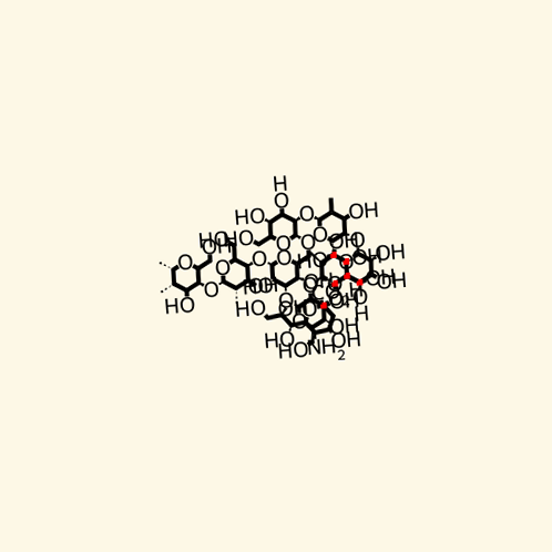 CC1C(O)[C@H](O[C@@H]2OC(CO[C@]3(C(=O)O)C[C@@H](O)[C@@H](N)C([C@H](O)[C@H](O)CO)O3)[C@H](O)C(O)[C@@H]2O)[C@H](CO)O[C@H]1O[C@@H]1C(O)[C@H](O)C(CO)O[C@@H]1OCC1O[C@@H](O[C@@H]2C(CO)O[C@@H](O[C@@H]3C(CO)O[C@@H](C)[C@@H](C)C3O)[C@@H](C)C2O)C(O)[C@@H](O[C@H]2O[C@H](CO)[C@@H](O)C(O)C2O[C@@H]2OC(CO)[C@@H](O)C(O)[C@@H]2C)[C@@H]1O